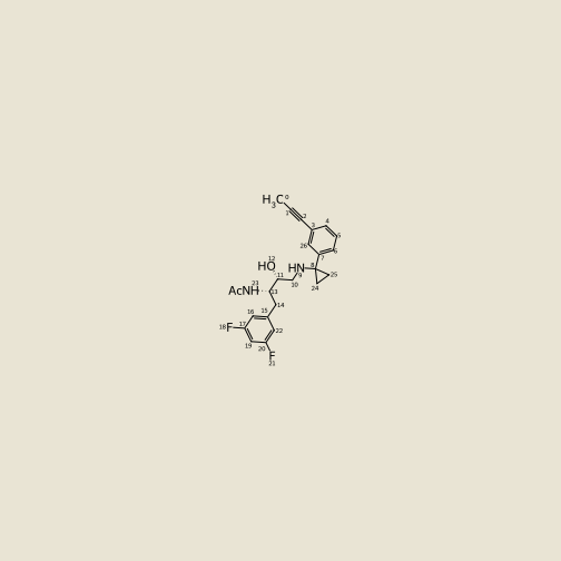 CC#Cc1cccc(C2(NC[C@@H](O)[C@H](Cc3cc(F)cc(F)c3)NC(C)=O)CC2)c1